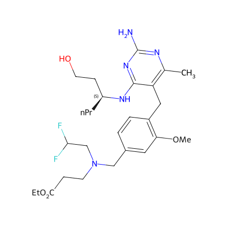 CCC[C@@H](CCO)Nc1nc(N)nc(C)c1Cc1ccc(CN(CCC(=O)OCC)CC(F)F)cc1OC